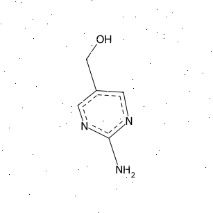 Nc1ncc(CO)cn1